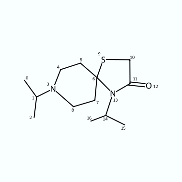 CC(C)N1CCC2(CC1)SCC(=O)N2C(C)C